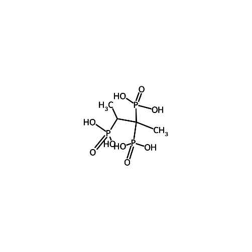 CC(C(C)(P(=O)(O)O)P(=O)(O)O)P(=O)(O)O